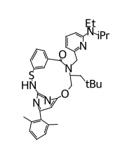 CCN(c1cccc(CN2C(=O)c3cccc(c3)SNc3nc(cc(-c4c(C)cccc4C)n3)OCC2CC(C)(C)C)n1)C(C)C